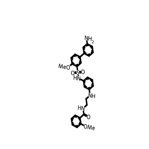 COc1ccccc1C(=O)NCCNc1cccc(NS(=O)(=O)c2cc(-c3cccc(N)c3)ccc2OC)c1